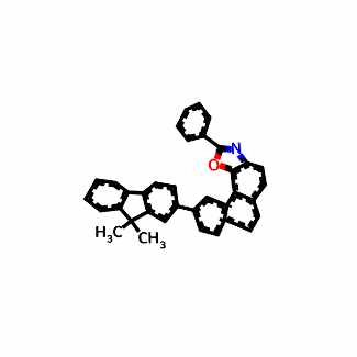 CC1(C)c2ccccc2-c2ccc(-c3ccc4ccc5ccc6nc(-c7ccccc7)oc6c5c4c3)cc21